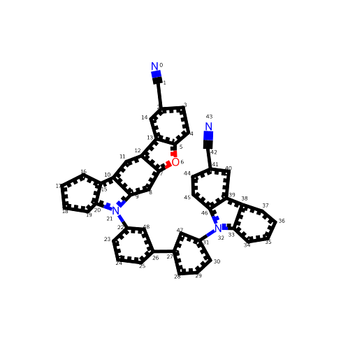 N#Cc1ccc2oc3cc4c(cc3c2c1)c1ccccc1n4-c1cccc(-c2cccc(-n3c4ccccc4c4cc(C#N)ccc43)c2)c1